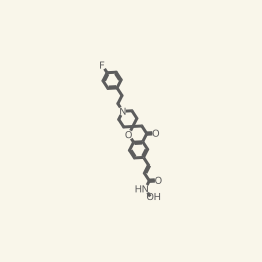 O=C(C=Cc1ccc2c(c1)C(=O)CC1(CCN(CCc3ccc(F)cc3)CC1)O2)NO